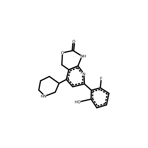 O=C1Nc2nc(-c3c(O)cccc3F)cc(C3CCCNC3)c2CO1